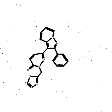 O=c1ccc(-c2c(-c3ccccc3)nn3ccccc23)nn1Cc1nccs1